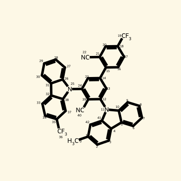 Cc1ccc2c3ccccc3n(-c3cc(-c4ccc(C(F)(F)F)cc4C#N)cc(-n4c5ccccc5c5ccc(C(F)(F)F)cc54)c3C#N)c2c1